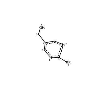 CC(C)(C)c1ncc(CO)cn1